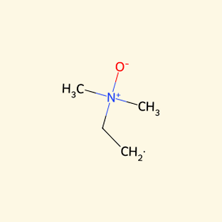 [CH2]C[N+](C)(C)[O-]